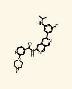 CC(C)Nc1cc(F)cc(-c2cc3cc(NC(=O)c4ccnc(N5CCN(C)CC5)c4)ncc3cn2)c1